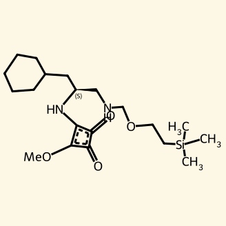 COc1c(N[C@H](CNCOCC[Si](C)(C)C)CC2CCCCC2)c(=O)c1=O